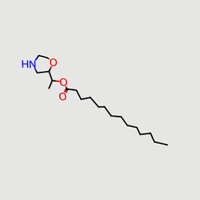 CCCCCCCCCCCCCC(=O)OC(C)C1CNCCO1